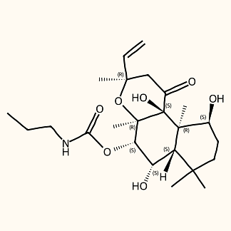 C=C[C@@]1(C)CC(=O)[C@]2(O)[C@@]3(C)[C@@H](O)CCC(C)(C)[C@@H]3[C@H](O)[C@H](OC(=O)NCCC)[C@@]2(C)O1